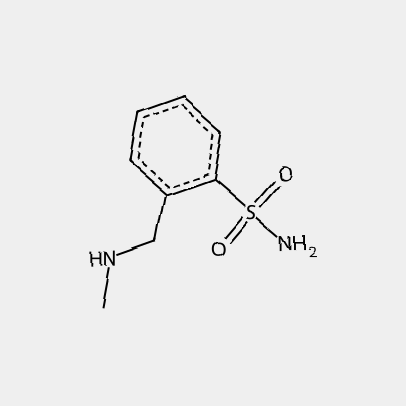 CNCc1ccccc1S(N)(=O)=O